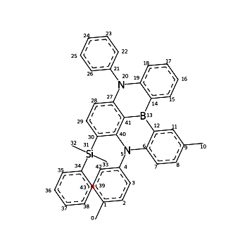 Cc1ccc(N2c3ccc(C)cc3B3c4ccccc4N(c4ccccc4)c4ccc([Si](C)(C)c5ccccc5)c2c43)cc1